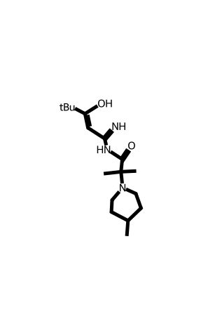 CC1CCN(C(C)(C)C(=O)NC(=N)/C=C(\O)C(C)(C)C)CC1